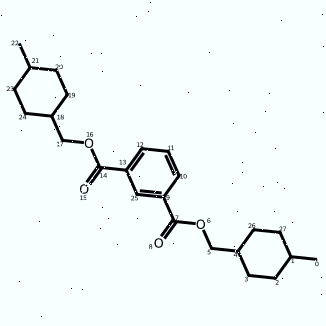 CC1CCC(COC(=O)c2cccc(C(=O)OCC3CCC(C)CC3)c2)CC1